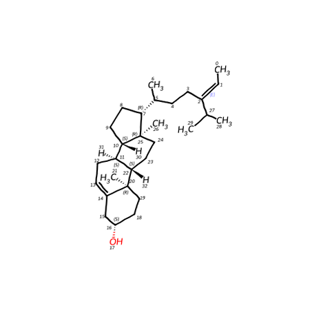 C/C=C(\CCC(C)[C@H]1CC[C@H]2[C@@H]3CC=C4C[C@@H](O)CC[C@]4(C)[C@H]3CC[C@]12C)C(C)C